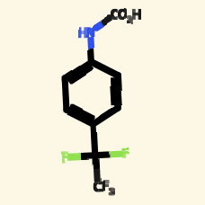 O=C(O)Nc1ccc(C(F)(F)C(F)(F)F)cc1